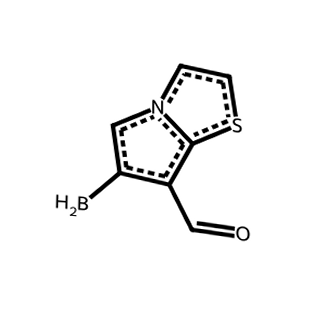 Bc1cn2ccsc2c1C=O